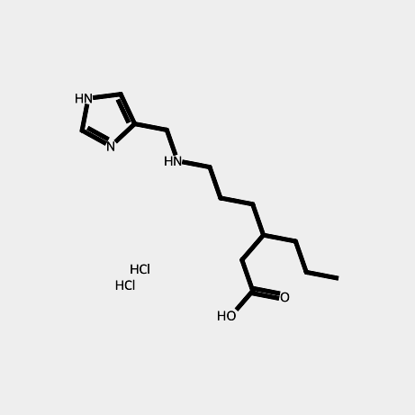 CCCC(CCCNCc1c[nH]cn1)CC(=O)O.Cl.Cl